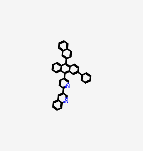 c1ccc(-c2ccc3c(-c4ccc5ccccc5c4)c4ccccc4c(-c4ccc(-c5cnc6ccccc6c5)nc4)c3c2)cc1